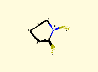 S=C1CCCCN1S